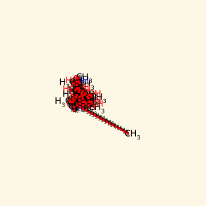 CCCCCCCCCCCCCCCCCCCCCCCCCCCCCC(O)CC(=O)N[C@H](Cc1ccccc1)C(=O)N[C@@H](C(=O)N[C@H](C)C(=O)N[C@@H](C)COC1O[C@@H](C)[C@H](OC)[C@@H](OC)[C@H]1O)[C@@H](C)OC1O[C@@H](C)[C@@H](O)[C@@H](O)[C@H]1O[C@@H]1O[C@@H](C)[C@H](O)[C@@H](O[C@@H]2O[C@@H](C)[C@@H](O[C@@H]3O[C@H](C(=O)O)[C@@H](O[C@@H]4O[C@@H](C)[C@@H](NC(C)=O)[C@@H](O)[C@@H]4OC)[C@H](O)[C@H]3O)[C@@H](O)[C@@H]2OC)[C@H]1O